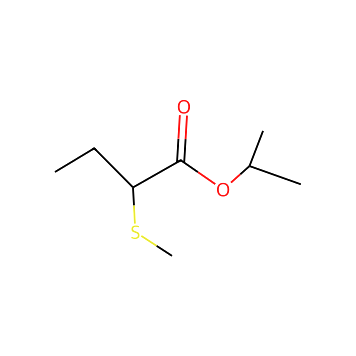 CCC(SC)C(=O)OC(C)C